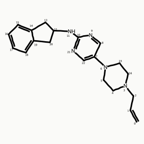 C=CCN1CCN(c2cnc(NC3Cc4ccccc4C3)nc2)CC1